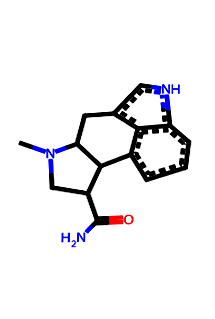 CN1CC(C(N)=O)C2c3cccc4[nH]cc(c34)CC21